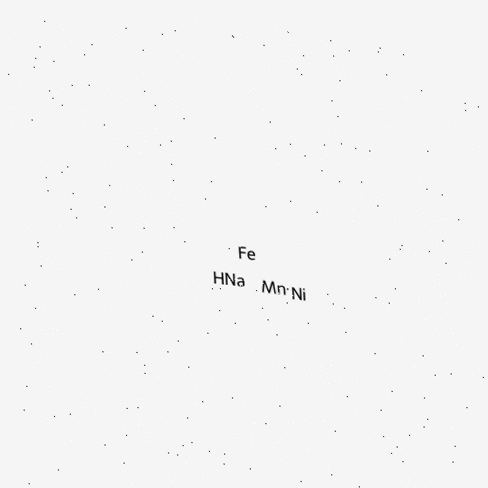 [Fe].[Mn].[NaH].[Ni]